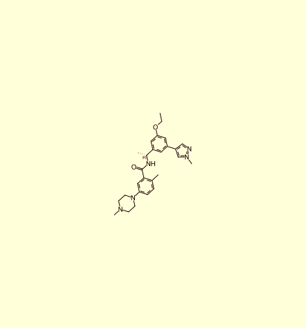 CCOc1cc(-c2cnn(C)c2)cc([C@@H](C)NC(=O)c2cc(N3CCN(C)CC3)ccc2C)c1